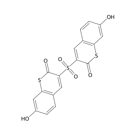 O=c1sc2cc(O)ccc2cc1S(=O)(=O)c1cc2ccc(O)cc2sc1=O